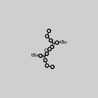 CC(C)(C)C1=CCC(N(C2=CCC(C3=CC(C4CC=CCC4)CCC3)C=C2)C2=CC3CC4OC5C=C(N(C6=CCC(C(C)(C)C)C=C6)C6CC=C(C7CC=CC(C8C=CC=CC8)C7)CC6)C=CC5C4C=C3C=C2)CC1